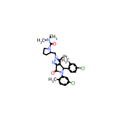 Cc1cc(Cl)ccc1C1c2c(nn(CC3CCCN3C(=O)N(C)C)c2C(C)C)C(=O)N1c1cc(Cl)ccc1C